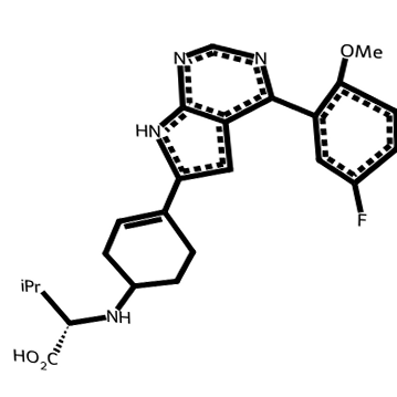 COc1ccc(F)cc1-c1ncnc2[nH]c(C3=CCC(N[C@H](C(=O)O)C(C)C)CC3)cc12